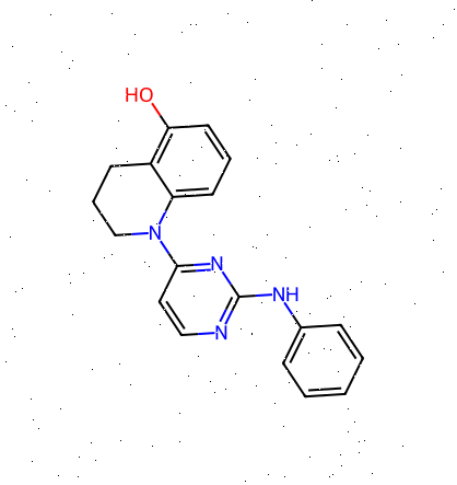 Oc1cccc2c1CCCN2c1ccnc(Nc2ccccc2)n1